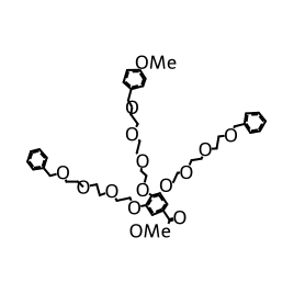 COC(=O)c1cc(OCCOCCOCCOCc2ccccc2)c(OCCOCCOCCOCc2ccc(OC)cc2)c(OCCOCCOCCOCc2ccccc2)c1